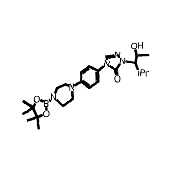 CC(C)C(C(C)O)n1ncn(-c2ccc(N3CCN(B4OC(C)(C)C(C)(C)O4)CC3)cc2)c1=O